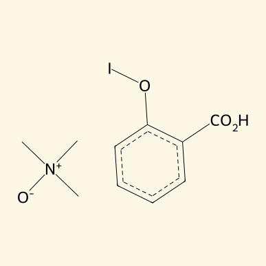 C[N+](C)(C)[O-].O=C(O)c1ccccc1OI